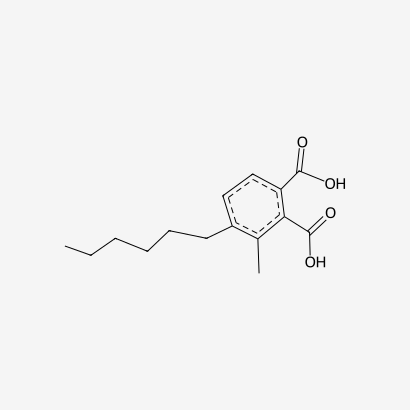 CCCCCCc1ccc(C(=O)O)c(C(=O)O)c1C